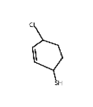 SC1C=CC(Cl)CC1